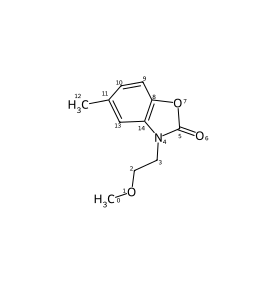 COCCn1c(=O)oc2ccc(C)cc21